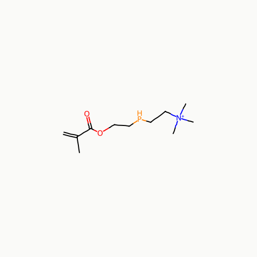 C=C(C)C(=O)OCCPCC[N+](C)(C)C